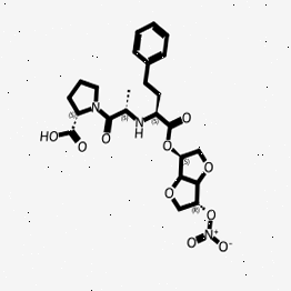 C[C@H](N[C@@H](CCc1ccccc1)C(=O)O[C@H]1COC2C1OC[C@H]2O[N+](=O)[O-])C(=O)N1CCC[C@H]1C(=O)O